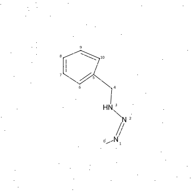 C/N=N\NCc1ccccc1